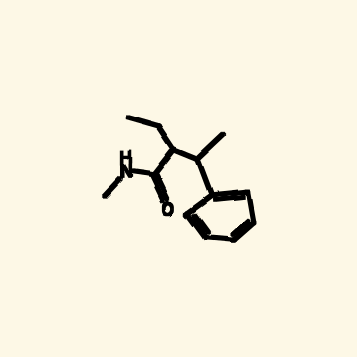 CCC(C(=O)NC)C(C)c1ccccc1